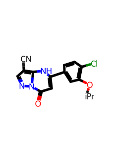 CC(C)Oc1cc(-c2cc(=O)n3ncc(C#N)c3[nH]2)ccc1Cl